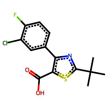 CC(C)(C)c1nc(-c2ccc(F)c(Cl)c2)c(C(=O)O)s1